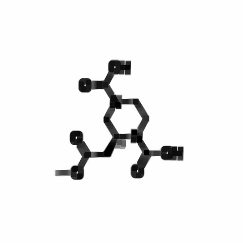 COC(=O)C[C@H]1CN(C(=O)O)CCN1C(=O)O